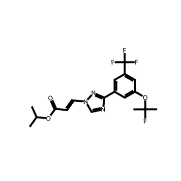 CC(C)OC(=O)/C=C/n1cnc(-c2cc(OC(C)(C)F)cc(C(F)(F)F)c2)n1